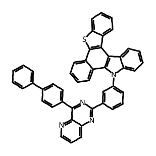 c1ccc(-c2ccc(-c3nc(-c4cccc(-n5c6ccccc6c6c7c8ccccc8sc7c7ccccc7c65)c4)nc4cccnc34)cc2)cc1